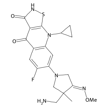 CON=C1CN(c2cc3c(cc2F)c(=O)c2c(=O)[nH]sc2n3C2CC2)CC1(C)CN